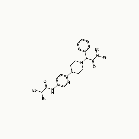 CCC(CC)C(=O)Nc1ccc(N2CCN(C(C(=O)N(CC)CC)c3ccccc3)CC2)nc1